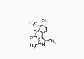 Cc1c(O)ccc2c1oc(=O)c1c2c(C)nn1C